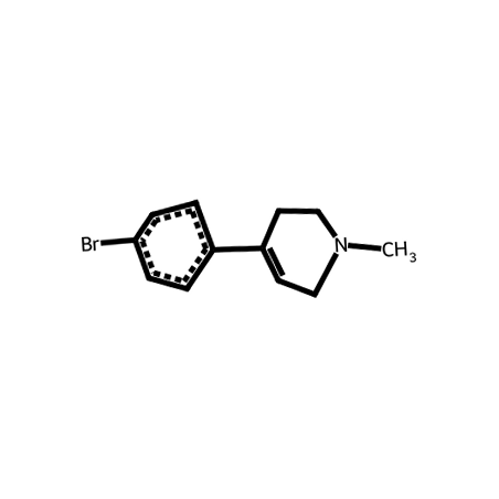 CN1CC=C(c2ccc(Br)cc2)CC1